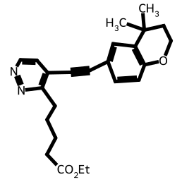 CCOC(=O)CCCCc1nnccc1C#Cc1ccc2c(c1)C(C)(C)CCO2